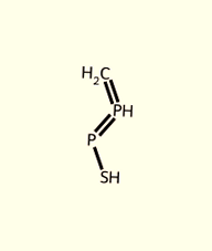 C=[PH]=PS